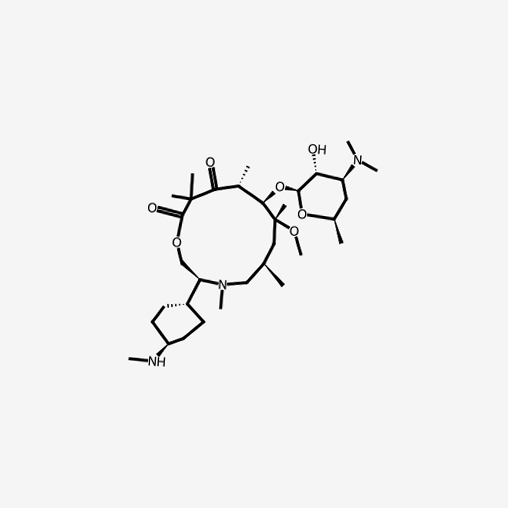 CN[C@H]1CC[C@H]([C@H]2COC(=O)C(C)(C)C(=O)[C@H](C)[C@@H](O[C@@H]3O[C@H](C)C[C@H](N(C)C)[C@H]3O)[C@](C)(OC)C[C@@H](C)CN2C)CC1